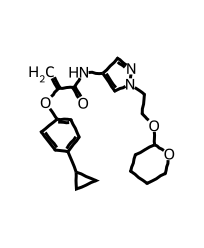 C=C(Oc1ccc(C2CC2)cc1)C(=O)Nc1cnn(CCOC2CCCCO2)c1